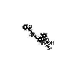 CSCC[C@H](NC(=O)c1ccc(CCNCCCCC(=O)C2CCCCC2)cc1-c1ccccc1C)C(=O)O